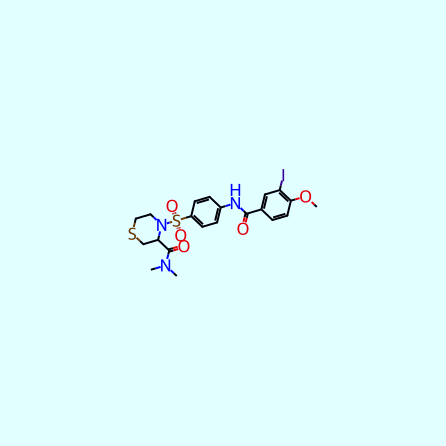 COc1ccc(C(=O)Nc2ccc(S(=O)(=O)N3CCSCC3C(=O)N(C)C)cc2)cc1I